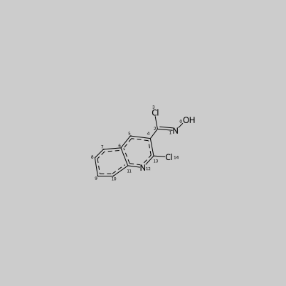 ON=C(Cl)c1cc2ccccc2nc1Cl